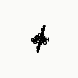 C=CCOCCOC(=O)C1=C(C)NC(C=O)=C(C(=O)OCCOCCC)C1c1cccc([N+](=O)[O-])c1